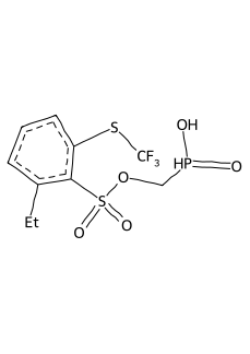 CCc1cccc(SC(F)(F)F)c1S(=O)(=O)OC[PH](=O)O